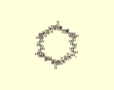 NCC(=O)NCC(=O)NCC(=O)NCC(=O)N[C@@H](CO)C(=O)NCC(=O)NCC(=O)NCC(=O)NCC(=O)N[C@@H](CO)C(=O)NCC(=O)NCC(=O)NCC(=O)NCC(=O)N[C@@H](CO)C(=O)NCC(=O)NCC(=O)NCC(=O)NCC(=O)N[C@@H](CO)C(=O)NCC(=O)NCC(=O)NCC(=O)NCC(=O)N[C@@H](CO)C(=O)NCC(=O)NCC(=O)NCC(=O)NCC(=O)O